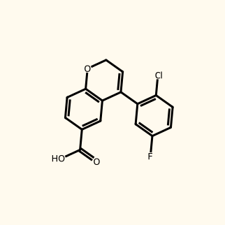 O=C(O)c1ccc2c(c1)C(c1cc(F)ccc1Cl)=CCO2